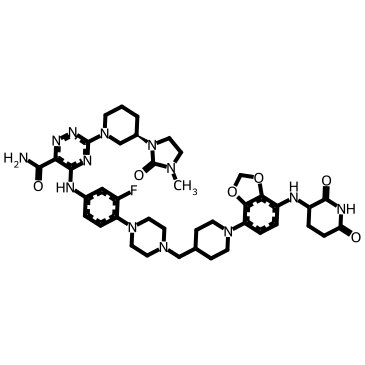 CN1CCN([C@@H]2CCCN(c3nnc(C(N)=O)c(Nc4ccc(N5CCN(CC6CCN(c7ccc(NC8CCC(=O)NC8=O)c8c7OCO8)CC6)CC5)c(F)c4)n3)C2)C1=O